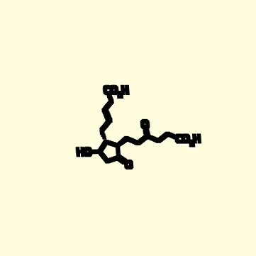 O=C(O)C/C=C/C[C@H]1C(O)CC(=O)[C@@H]1CCC(=O)CCC(=O)O